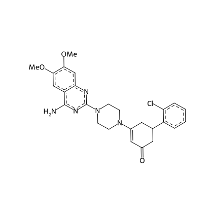 COc1cc2nc(N3CCN(C4=CC(=O)CC(c5ccccc5Cl)C4)CC3)nc(N)c2cc1OC